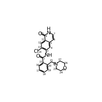 O=C(Nc1cc2cc[nH]c(=O)c2cc1Cl)c1ccccc1CN1CCOCC1